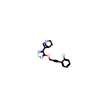 Clc1ccccc1C#CCOc1nsnc1C1CN2CCC1C2